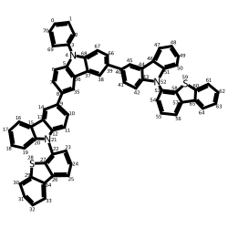 c1ccc(-n2c3ccc(-c4ccc5c(c4)c4ccccc4n5-c4cccc5c4sc4ccccc45)cc3c3cc(-c4ccc5c(c4)c4ccccc4n5-c4cccc5c4sc4ccccc45)ccc32)cc1